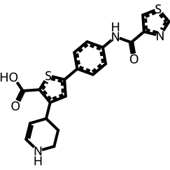 O=C(Nc1ccc(-c2cc(C3C=CNCC3)c(C(=O)O)s2)cc1)c1cscn1